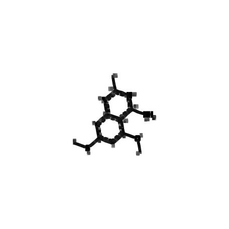 COc1cc(SC)cc2nc(C)nc(N)c12